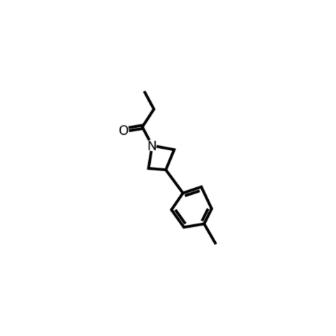 CCC(=O)N1CC(c2ccc(C)cc2)C1